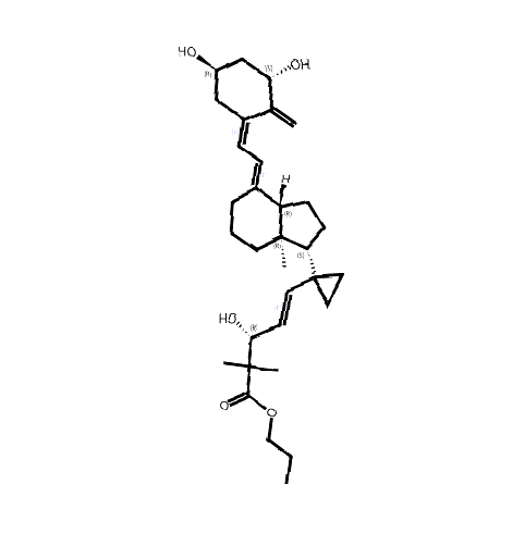 C=C1/C(=C\C=C2/CCC[C@]3(C)[C@@H](C4(/C=C/[C@@H](O)C(C)(C)C(=O)OCCC)CC4)CC[C@@H]23)C[C@@H](O)C[C@@H]1O